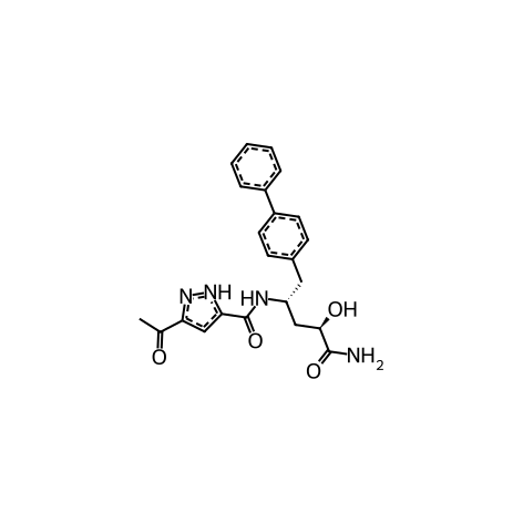 CC(=O)c1cc(C(=O)N[C@H](Cc2ccc(-c3ccccc3)cc2)C[C@@H](O)C(N)=O)[nH]n1